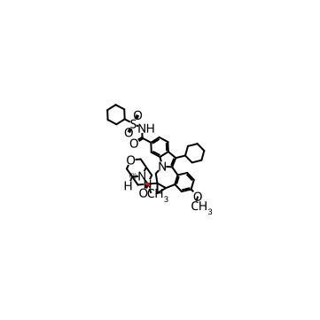 COc1ccc2c(c1)C1CC1(C(=O)N1C3COC[C@H]1CN(C)C3)Cn1c-2c(C2CCCCC2)c2ccc(C(=O)NS(=O)(=O)C3CCCCC3)cc21